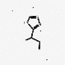 CCC(C)c1nnc[nH]1